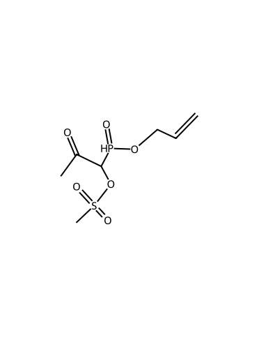 C=CCO[PH](=O)C(OS(C)(=O)=O)C(C)=O